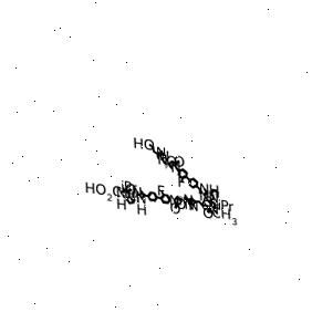 CC(C)[C@H](NC(=O)O)C(=O)N1CCC[C@H]1c1ncc(-c2ccc(-c3ccc(N4C[C@H](Cn5cc(CCOC(=O)N(C)[C@H](C(=O)N6CCC[C@H]6c6ncc(-c7ccc(-c8ccc(N9C[C@H](Cn%10cc(CCO)nn%10)OC9=O)cc8F)cc7)[nH]6)C(C)C)nn5)OC4=O)cc3F)cc2)[nH]1